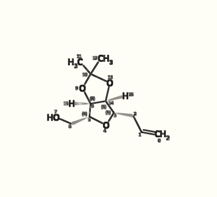 C=CC[C@@H]1O[C@H](CO)[C@H]2OC(C)(C)O[C@H]21